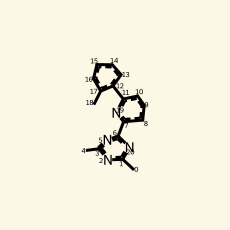 Cc1nc(C)nc(-c2cccc(-c3ccccc3C)n2)n1